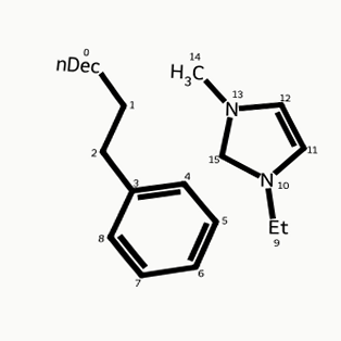 CCCCCCCCCCCCc1ccccc1.CCN1C=CN(C)C1